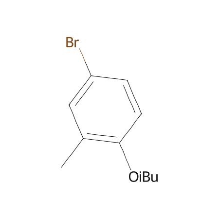 Cc1cc(Br)ccc1OCC(C)C